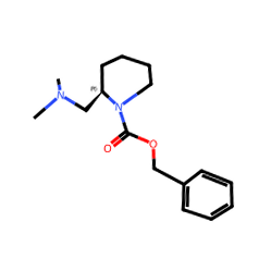 CN(C)C[C@H]1CCCCN1C(=O)OCc1ccccc1